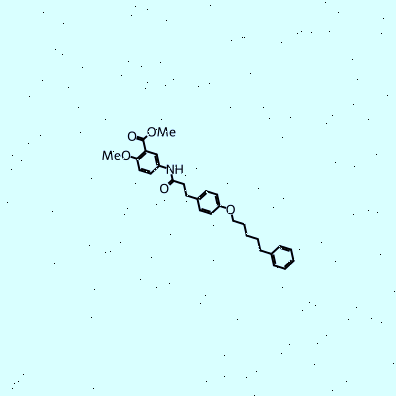 COC(=O)c1cc(NC(=O)CCc2ccc(OCCCCCc3ccccc3)cc2)ccc1OC